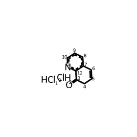 Cl.Cl.O=C1CC=Cc2cccnc21